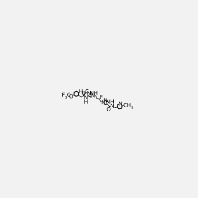 Cc1ccc(CNC(=O)c2cn(CC(F)CCN3C=C(NC(=O)Cc4cccc(OC(F)(F)F)c4)N(C)N3)nn2)cn1